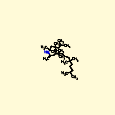 C=C(CCC(C)(C)CCCC(C)(C)CCCC(C)C)NC(C)(C)CC(C)(C)CC(C)C